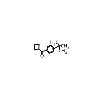 CC(C)(C)c1ccc(C(=O)C2CCC2)cc1